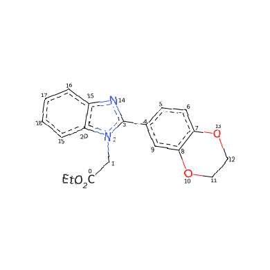 CCOC(=O)Cn1c(-c2ccc3c(c2)OCCO3)nc2ccccc21